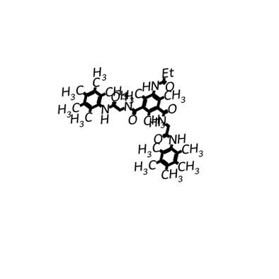 CCC(=O)Nc1c(C)c(C(=O)NCC(=O)Nc2c(C)c(C)c(C)c(C)c2C)c(C)c(C(=O)NCC(=O)Nc2c(C)c(C)c(C)c(C)c2C)c1C